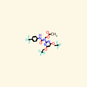 CC(=O)OCN(C(=O)Nc1ccc(C(F)(F)F)cc1)c1nc(OCC(F)(F)F)cc(OCC(F)(F)F)n1